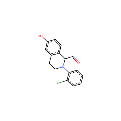 O=CC1c2ccc(O)cc2CCN1c1ccccc1Cl